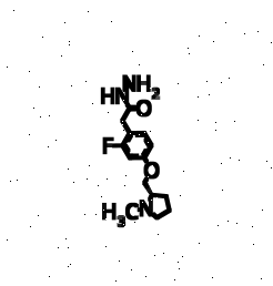 CN1CCC[C@@H]1COc1ccc(CC(=O)NN)c(F)c1